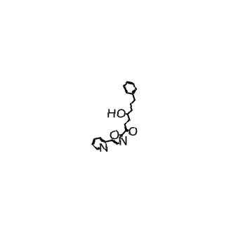 O=C(CCC(O)CCCc1ccccc1)c1ncc(-c2ccccn2)o1